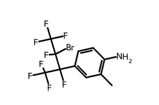 Cc1cc(C(F)(C(F)(F)F)C(F)(Br)C(F)(F)F)ccc1N